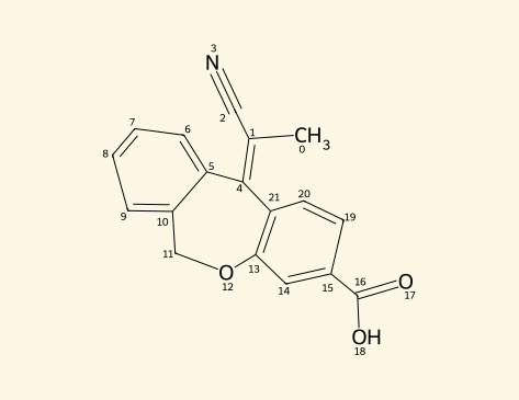 CC(C#N)=C1c2ccccc2COc2cc(C(=O)O)ccc21